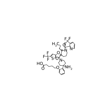 CCC[C@H]1N(C(=O)c2ncccc2C(F)(F)F)CCC[C@@]1(Oc1csc(C(F)(F)F)c1)C(=O)N1CCC(N)(c2ccccc2OCCCCC(=O)O)CC1